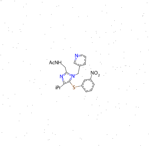 CC(=O)NCc1nc(C(C)C)c(Sc2cccc([N+](=O)[O-])c2)n1Cc1cccnc1